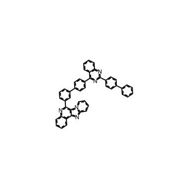 c1ccc(-c2ccc(-c3nc(-c4ccc(-c5cccc(-c6nc7ccccc7c7nc8ccccn8c67)c5)cc4)c4ccccc4n3)cc2)cc1